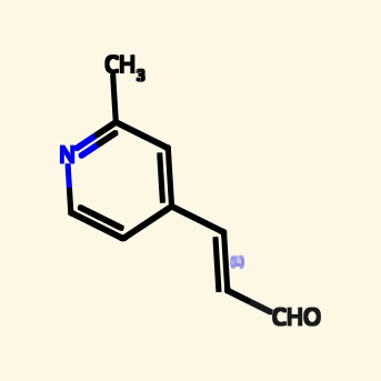 Cc1cc(/C=C/C=O)ccn1